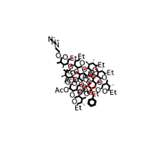 CCC1O[C@H](OC2[C@@H](OCC3O[C@H](OCC4O[C@@H](O[C@@H]5C(CC)O[C@@H](O[C@@H]6C(CC)O[C@@H](OCCN=[N+]=[N-])C(C)[C@@H]6C)C(C)[C@@H]5C)C(OC(C)=O)[C@@H](O[C@H]5O[C@@H](CC)[C@@H](C)C(C)C5O[C@H]5O[C@@H](CC)[C@@H](C)C(C)C5O[C@H]5O[C@@H](CC)[C@@H](C)C(C)C5OC(C)=O)[C@@H]4O)C(OCc4ccccc4)[C@@H](O[C@H]4O[C@@H](CC)[C@@H](C)C(C)C4O[C@H]4O[C@@H](CC)[C@@H](C)C(C)C4OC(C)=O)[C@@H]3C)OC(CC)[C@@H](C)[C@@H]2C)C(OC(C)=O)[C@@H](C)[C@@H]1C